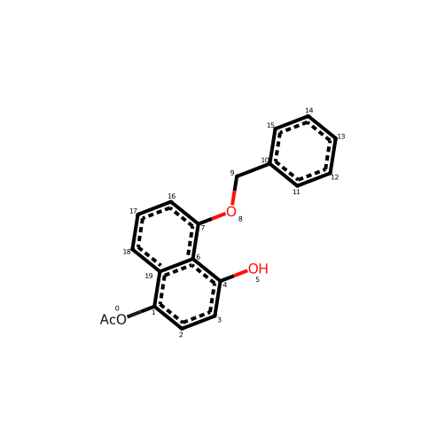 CC(=O)Oc1ccc(O)c2c(OCc3ccccc3)cccc12